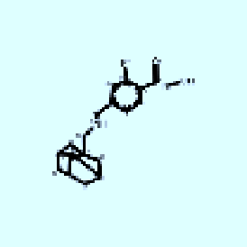 O=C(NO)c1ccc(CNCC23CC4CC(CC(C4)C2)C3)cc1F